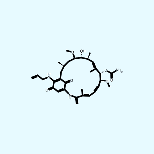 C=CCNC1=C2C[C@@H](C)CC(OC)[C@H](O)[C@@H](C)/C=C(\C)[C@H](OC(N)=O)[C@@H](OC)/C=C\C=C(/C)C(=C)NC(=CC1=O)C2=O